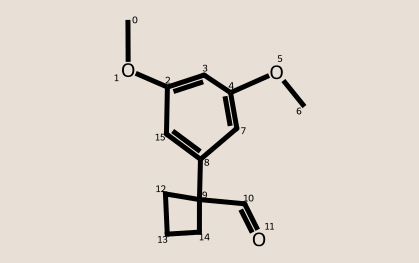 COc1cc(OC)cc(C2(C=O)CCC2)c1